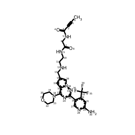 CC#CC(=O)NCC(=O)NCCNCc1cc2c(N3CCOCC3)nc(-c3cnc(N)cc3C(F)(F)F)nn2c1